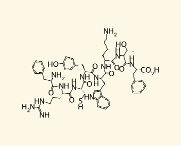 C[C@@H](O)[C@H](NC(=O)[C@H](CCCCN)NC(=O)[C@@H](Cc1c[nH]c2ccccc12)NC(=O)[C@H](Cc1ccc(O)cc1)NC(=O)[C@H](CS)NC(=O)[C@H](CCCNC(=N)N)NC(=O)[C@H](N)Cc1ccccc1)C(=O)N[C@@H](Cc1ccccc1)C(=O)O